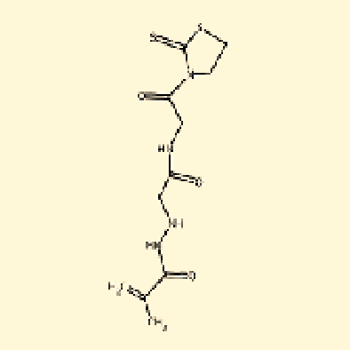 C=C(C)C(=O)NNCC(=O)NCC(=O)N1CCSC1=S